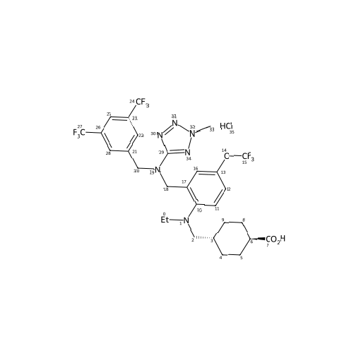 CCN(C[C@H]1CC[C@H](C(=O)O)CC1)c1ccc(OC(F)(F)F)cc1CN(Cc1cc(C(F)(F)F)cc(C(F)(F)F)c1)c1nnn(C)n1.Cl